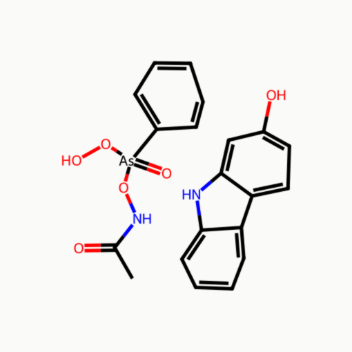 CC(=O)NO[As](=O)(OO)c1ccccc1.Oc1ccc2c(c1)[nH]c1ccccc12